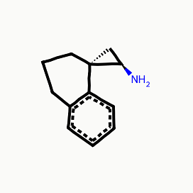 N[C@@H]1C[C@]12CCCc1ccccc12